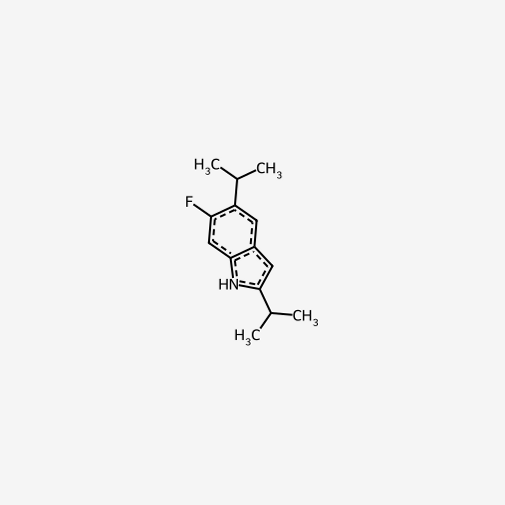 CC(C)c1cc2cc(C(C)C)c(F)cc2[nH]1